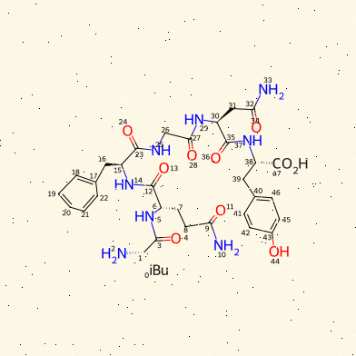 CC[C@H](C)[C@H](N)C(=O)N[C@@H](CCC(N)=O)C(=O)N[C@@H](Cc1ccccc1)C(=O)NCC(=O)N[C@@H](CC(N)=O)C(=O)N[C@@H](Cc1ccc(O)cc1)C(=O)O